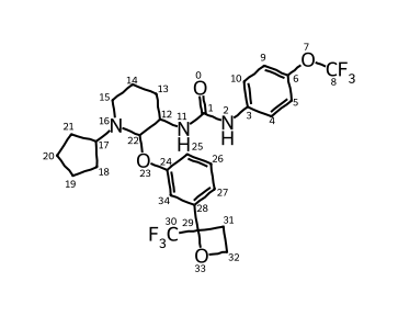 O=C(Nc1ccc(OC(F)(F)F)cc1)NC1CCCN(C2CCCC2)C1Oc1cccc(C2(C(F)(F)F)CCO2)c1